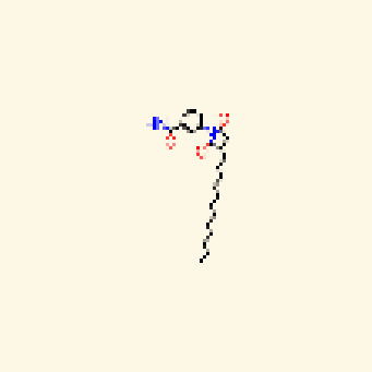 CCCCCCCCCCCCC1CC(=O)N(c2cccc(C([NH])=O)c2)C1=O